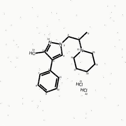 CC(Cn1cc(-c2ccccc2)c(O)n1)N1CCCCC1.Cl.Cl